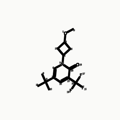 COC1CC(n2cc(C(C)(C)C)cc(C(F)(F)F)c2=O)C1